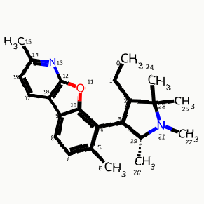 CCC1C(c2c(C)ccc3c2oc2nc(C)ccc23)[C@@H](C)N(C)C1(C)C